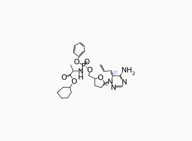 C=C/C=C1/C(N)=NC=NN1[C@H]1CCC(COP(=O)(NC(C)C(=O)OC2CCCCC2)Oc2ccccc2)O1